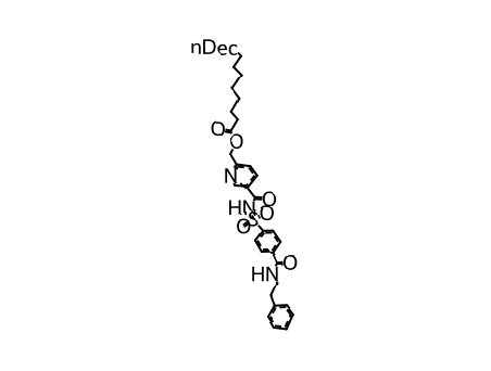 CCCCCCCCCCCCCCCCCC(=O)OCc1ccc(C(=O)NS(=O)(=O)c2ccc(C(=O)NCCc3ccccc3)cc2)cn1